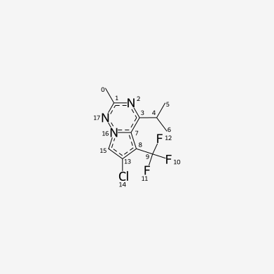 Cc1nc(C(C)C)c2c(C(F)(F)F)c(Cl)cn2n1